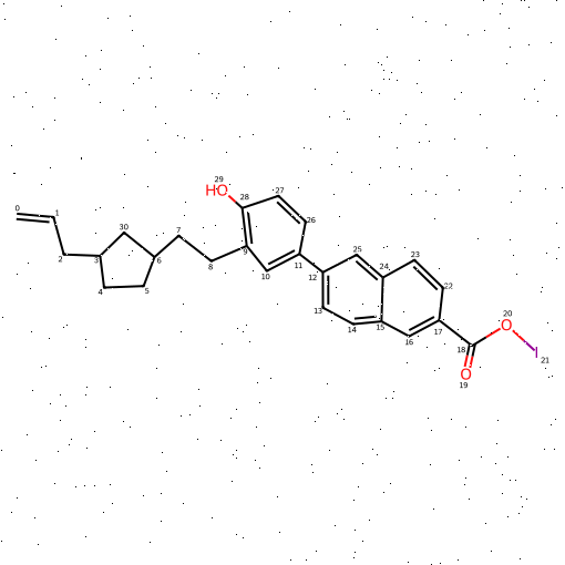 C=CCC1CCC(CCc2cc(-c3ccc4cc(C(=O)OI)ccc4c3)ccc2O)C1